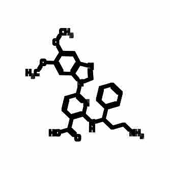 COc1cc2ncn(-c3ccc(C(=O)O)c(NC(CCN)c4ccccc4)n3)c2cc1OC